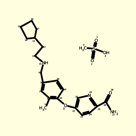 CS(=O)(=O)O.Cc1cc(CNCCC2CCCC2)ccc1Oc1ccc(C(N)=O)nc1